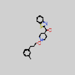 Cc1cccc(CCCON2CCC(C(=O)c3nc4ccccc4s3)CC2)c1